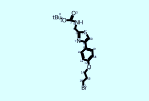 CC(C)(C)OC(=O)NCc1nc(-c2ccc(OCCCBr)cc2)cs1